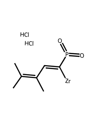 CC(C)=C(C)C=[C]([Zr])P(=O)=O.Cl.Cl